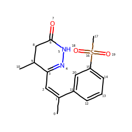 CC(=CC1=NNC(=O)CC1C)c1cccc(S(C)(=O)=O)c1